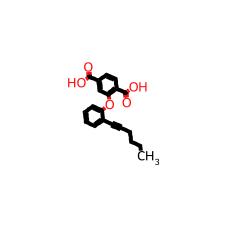 CCCCC#Cc1ccccc1Oc1cc(C(=O)O)ccc1C(=O)O